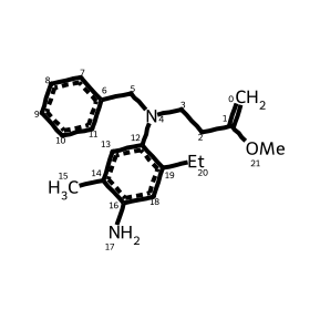 C=C(CCN(Cc1ccccc1)c1cc(C)c(N)cc1CC)OC